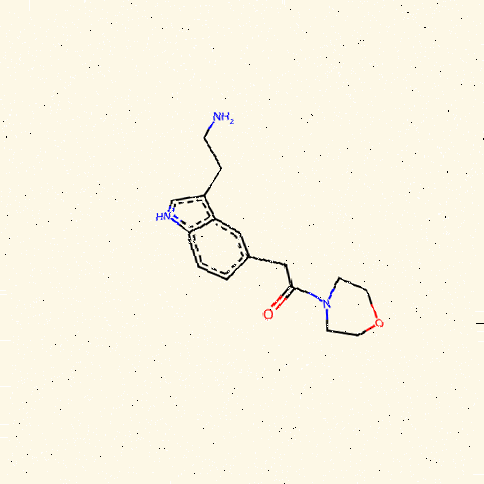 NCCc1c[nH]c2ccc(CC(=O)N3CCOCC3)cc12